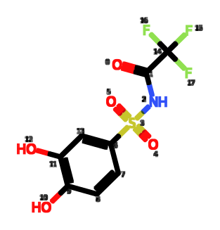 O=C(NS(=O)(=O)c1ccc(O)c(O)c1)C(F)(F)F